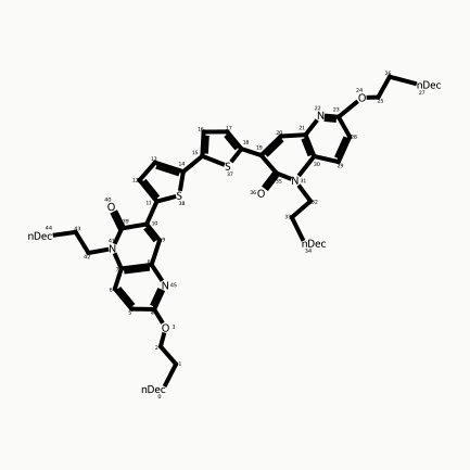 CCCCCCCCCCCCOc1ccc2c(cc(-c3ccc(-c4ccc(-c5cc6nc(OCCCCCCCCCCCC)ccc6n(CCCCCCCCCCCC)c5=O)s4)s3)c(=O)n2CCCCCCCCCCCC)n1